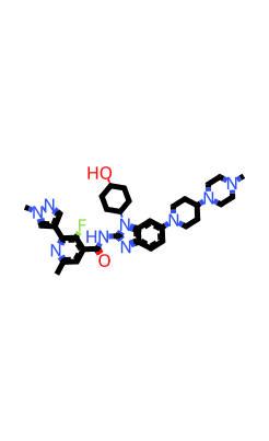 Cc1cc(C(=O)Nc2nc3ccc(N4CCC(N5CCN(C)CC5)CC4)cc3n2[C@H]2CC[C@@H](O)CC2)c(F)c(-c2cnn(C)c2)n1